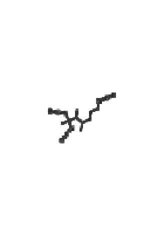 CC(CCCN=C=O)C(C)C(C)(N=C=O)N=C=O